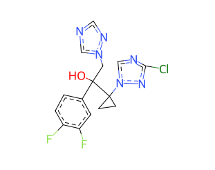 OC(Cn1cncn1)(c1ccc(F)c(F)c1)C1(n2cnc(Cl)n2)CC1